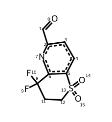 O=Cc1ccc2c(n1)C(F)(F)CCS2(=O)=O